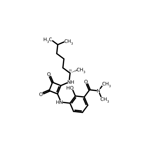 CC(C)CCC[C@H](C)Nc1c(Nc2cccc(C(=O)N(C)C)c2O)c(=O)c1=O